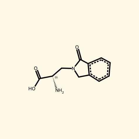 N[C@@H](CN1Cc2ccccc2C1=O)C(=O)O